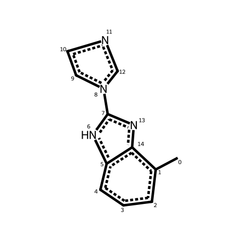 Cc1cccc2[nH]c(-n3ccnc3)nc12